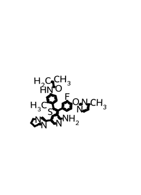 C=C(C)C(=O)Nc1ccc(-c2sc3c(-c4cn5c(n4)CCC5)cnc(N)c3c2-c2ccc(Oc3nccc(C)n3)c(F)c2)c(C)c1